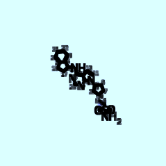 NS(=O)(=O)/C=C/[C@H]1CC[C@H](n2ccc3c(NC4CCc5ccccc54)ncnc32)C1